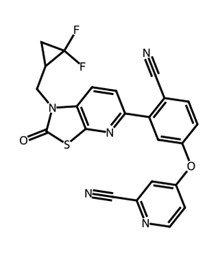 N#Cc1cc(Oc2ccc(C#N)c(-c3ccc4c(n3)sc(=O)n4CC3CC3(F)F)c2)ccn1